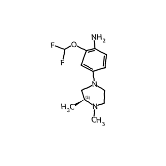 C[C@H]1CN(c2ccc(N)c(OC(F)F)c2)CCN1C